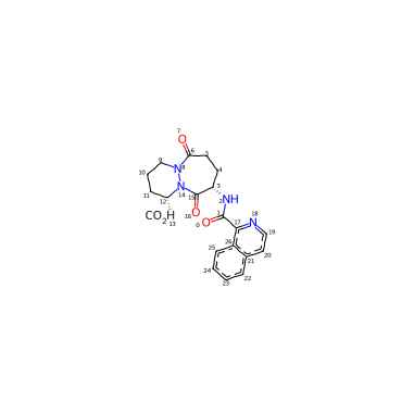 O=C(N[C@H]1CCC(=O)N2CCC[C@@H](C(=O)O)N2C1=O)c1nccc2ccccc12